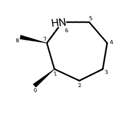 C[C@@H]1CCCCN[C@@H]1C